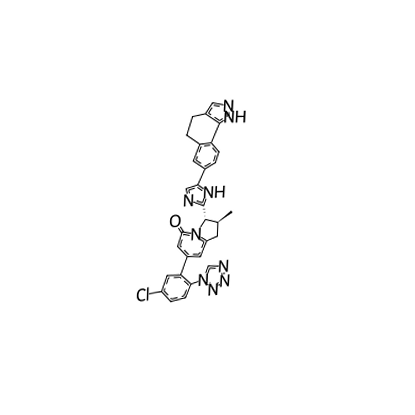 C[C@H]1Cc2cc(-c3cc(Cl)ccc3-n3cnnn3)cc(=O)n2[C@@H]1c1ncc(-c2ccc3c(c2)CCc2cn[nH]c2-3)[nH]1